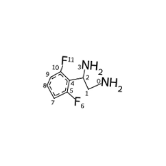 NCC(N)c1c(F)cccc1F